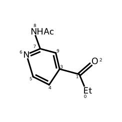 CCC(=O)c1ccnc(NC(C)=O)c1